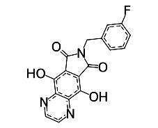 O=C1c2c(c(O)c3nccnc3c2O)C(=O)N1Cc1cccc(F)c1